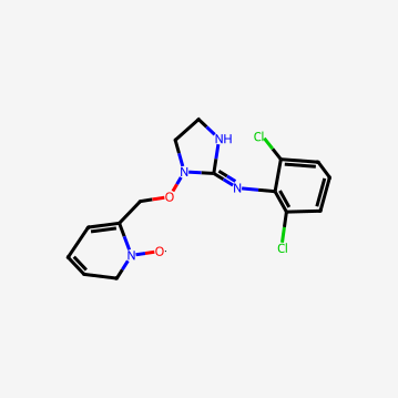 [O]N1CC=CC=C1CON1CCNC1=Nc1c(Cl)cccc1Cl